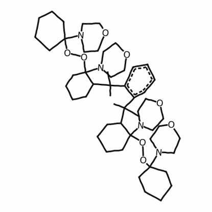 CC(C)(c1ccccc1C(C)(C)C1CCCCC1(OOC1(N2CCOCC2)CCCCC1)N1CCOCC1)C1CCCCC1(OOC1(N2CCOCC2)CCCCC1)N1CCOCC1